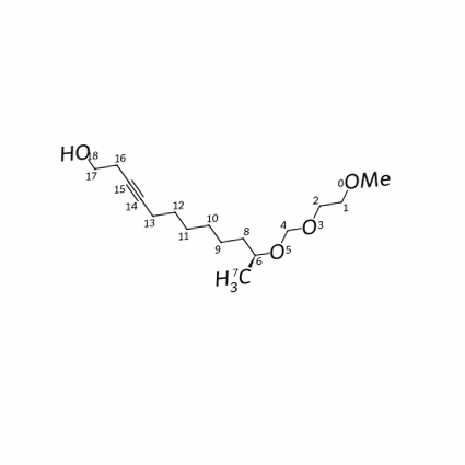 COCCOCO[C@@H](C)CCCCCCC#CCCO